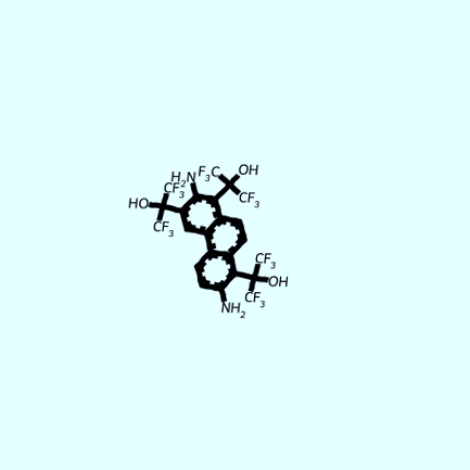 Nc1ccc2c(ccc3c(C(O)(C(F)(F)F)C(F)(F)F)c(N)c(C(O)(C(F)(F)F)C(F)(F)F)cc32)c1C(O)(C(F)(F)F)C(F)(F)F